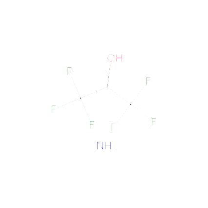 N.OC(C(F)(F)F)C(F)(F)F